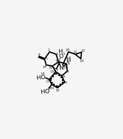 C=C1CC[C@@]2(O)[C@H]3Cc4ccc(O)c(O)c4[C@@]2(CCN3CC2CC2)C1